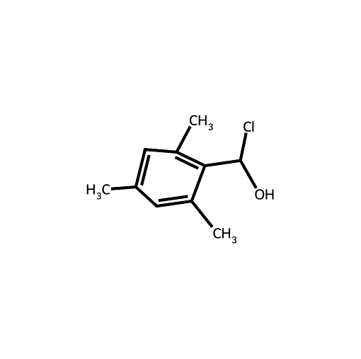 Cc1cc(C)c(C(O)Cl)c(C)c1